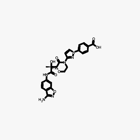 C[C@](O)(C(=O)Nc1ccc2c(N)noc2c1)[C@H]1OCCN(c2ccn(-c3ccc(C(=O)O)cc3)n2)C1=O